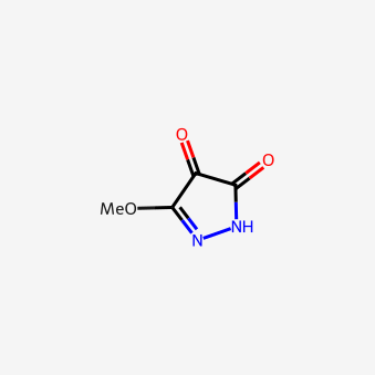 COC1=NNC(=O)C1=O